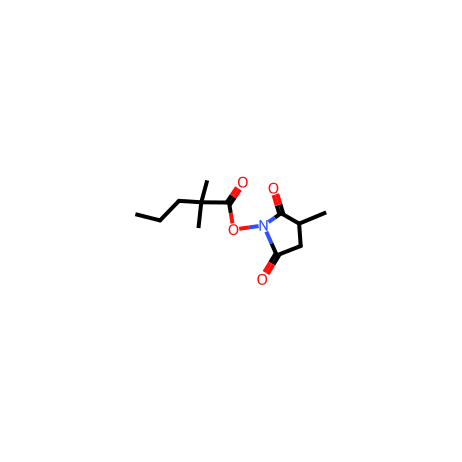 CCCC(C)(C)C(=O)ON1C(=O)CC(C)C1=O